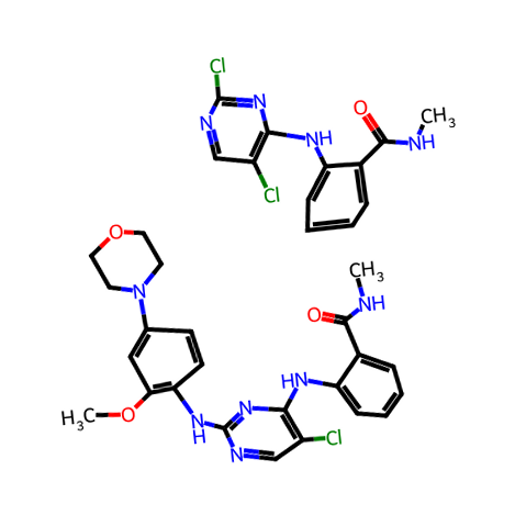 CNC(=O)c1ccccc1Nc1nc(Cl)ncc1Cl.CNC(=O)c1ccccc1Nc1nc(Nc2ccc(N3CCOCC3)cc2OC)ncc1Cl